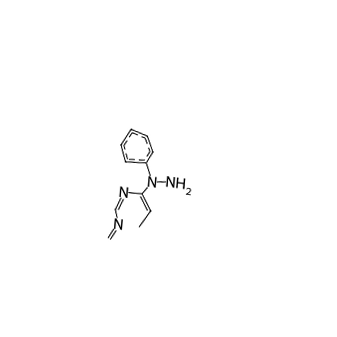 C=N/C=N\C(=C/C)N(N)c1ccccc1